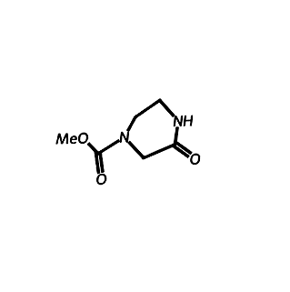 COC(=O)N1CCNC(=O)C1